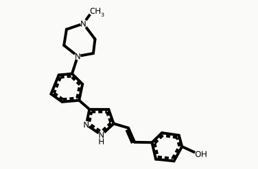 CN1CCN(c2cccc(-c3cc(C=Cc4ccc(O)cc4)[nH]n3)c2)CC1